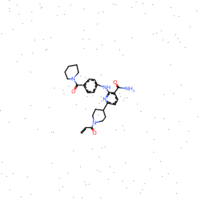 C=CC(=O)N1CCC(c2ccc(C(N)=O)c(Nc3ccc(C(=O)N4CCCCC4)cc3)n2)CC1